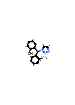 N#Cc1ccccc1C(c1ccccc1C#N)n1ccnn1